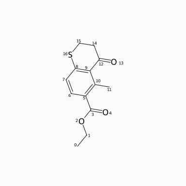 CCOC(=O)c1ccc2c(c1C)C(=O)CCS2